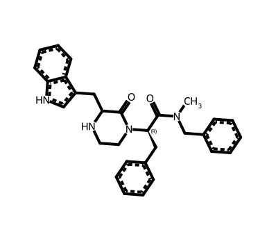 CN(Cc1ccccc1)C(=O)[C@@H](Cc1ccccc1)N1CCNC(Cc2c[nH]c3ccccc23)C1=O